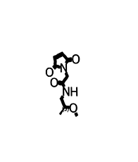 CO[C@@H](C)CNC(=O)CN1C(=O)C=CC1=O